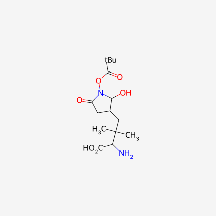 CC(C)(C)C(=O)ON1C(=O)CC(CC(C)(C)C(N)C(=O)O)C1O